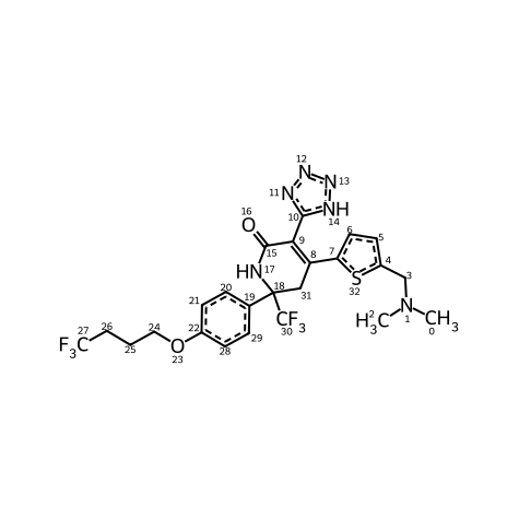 CN(C)Cc1ccc(C2=C(c3nnn[nH]3)C(=O)NC(c3ccc(OCCCC(F)(F)F)cc3)(C(F)(F)F)C2)s1